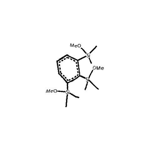 CO[Si](C)(C)c1cccc([Si](C)(C)OC)c1[Si](C)(C)OC